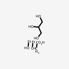 CC(=O)O.CCO.CCO.OCC(O)CO